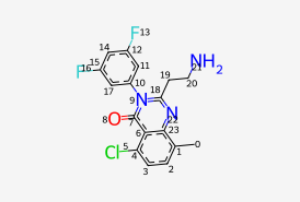 Cc1ccc(Cl)c2c(=O)n(-c3cc(F)cc(F)c3)c(CCN)nc12